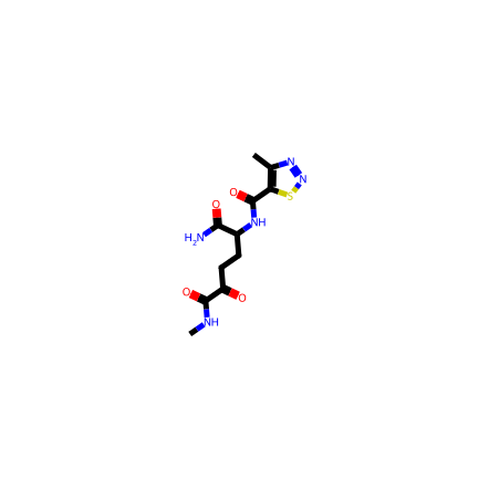 CNC(=O)C(=O)CCC(NC(=O)c1snnc1C)C(N)=O